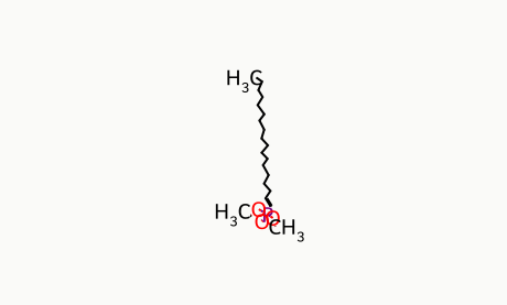 CCCCCCCCCCCCCCCCC=CP(=O)(OC)OCC